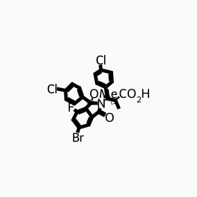 CO[C@@]1(c2ccc(Cl)cc2)c2c(F)cc(Br)cc2C(=O)N1[C@H](c1ccc(Cl)cc1)[C@H](C)C(=O)O